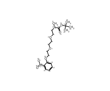 CN(CCOCCOCCOc1ccccc1[N+](=O)[O-])C(=O)OC(C)(C)C